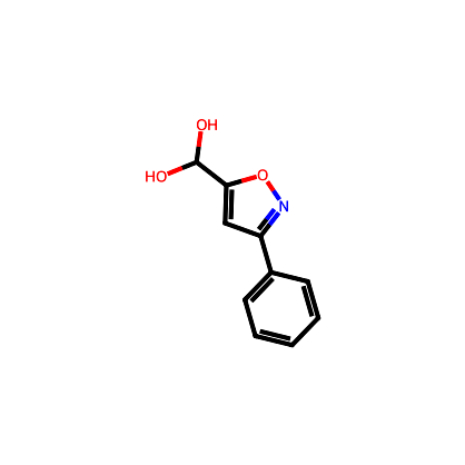 OC(O)c1cc(-c2ccccc2)no1